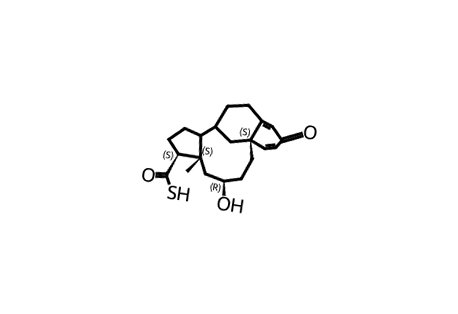 C[C@]12C[C@H](O)CC[C@]34C=CC(=O)C=C3CCC(C4)C1CC[C@@H]2C(=O)S